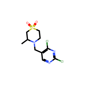 CC1CS(=O)(=O)CCN1Cc1cnc(Cl)nc1Cl